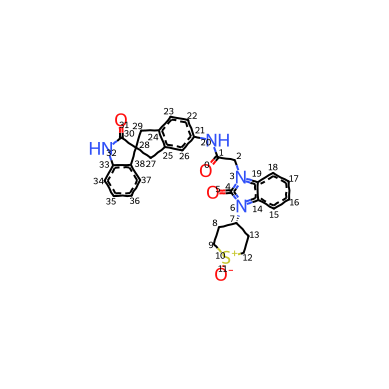 O=C(Cn1c(=O)n([C@H]2CC[S@+]([O-])CC2)c2ccccc21)Nc1ccc2c(c1)CC1(C2)C(=O)Nc2ccccc21